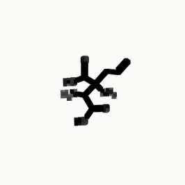 C=CCC(N)(C(=O)O)C(N)C(=O)O